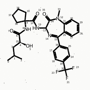 CC(C)C[C@H](O)C(=O)NC1(C(=O)NC2N=C(c3ccc(C(F)(F)F)cc3)c3ccccc3N(C)C2=O)CCCC1